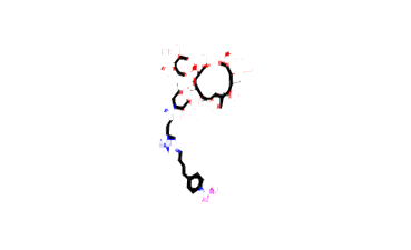 CC[C@H]1OC(=O)[C@H](C)[C@@H](O[C@H]2C[C@@](C)(OC)[C@@H](O)[C@H](C)O2)[C@H](C)[C@@H](O[C@@H]2O[C@H](C)C[C@H](N(C)CCc3cn(CCCCc4ccc([N+](=O)[O-])cc4)nn3)[C@H]2O)[C@@]2(C)C[C@@H](CO2)C(=O)[C@H](C)[C@@H](O)[C@]1(C)O